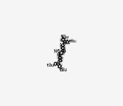 CC(C)(C)c1ccc2c(c1)c1cc(C(C)(C)C)ccc1n2-c1ccc2cc3c(cc2c1)oc1c(C#N)c2c(cc13)oc1cc3cc(-n4c5ccc(C(C)(C)C)cc5c5cc(C(C)(C)C)ccc54)ccc3cc12